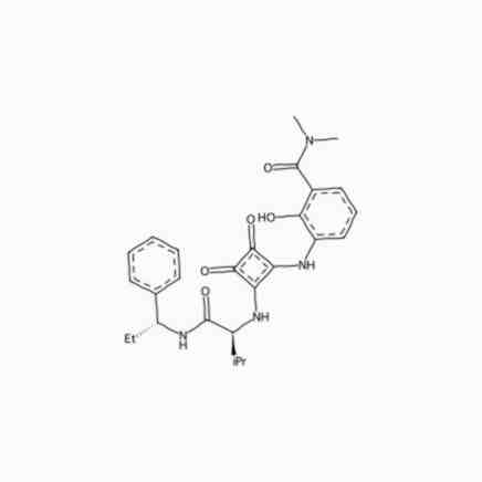 CC[C@@H](NC(=O)[C@@H](Nc1c(Nc2cccc(C(=O)N(C)C)c2O)c(=O)c1=O)C(C)C)c1ccccc1